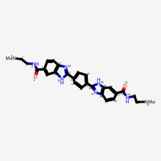 CNCCNC(=O)c1ccc2nc(-c3ccc(-c4nc5ccc(C(=O)NCCNC)cc5[nH]4)cc3)[nH]c2c1